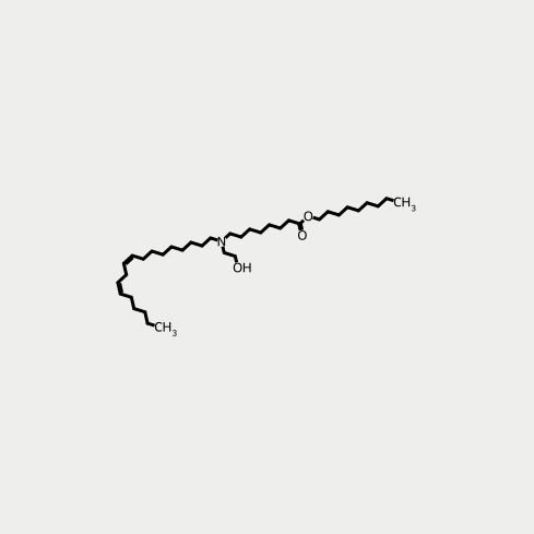 CCCCC/C=C\C/C=C\CCCCCCCCN(CCO)CCCCCCCC(=O)OCCCCCCCCC